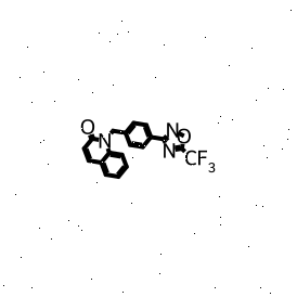 O=c1ccc2ccccc2n1Cc1ccc(-c2noc(C(F)(F)F)n2)cc1